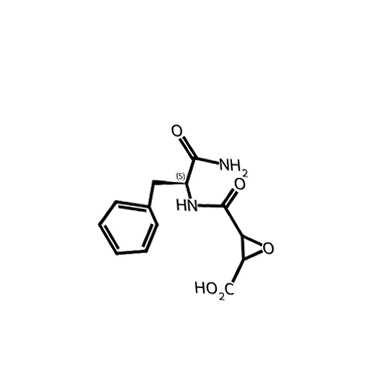 NC(=O)[C@H](Cc1ccccc1)NC(=O)C1OC1C(=O)O